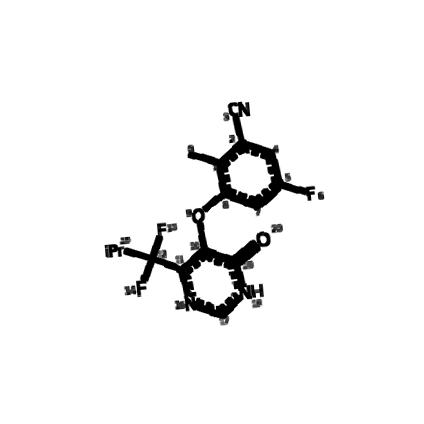 Cc1c(C#N)cc(F)cc1Oc1c(C(F)(F)C(C)C)nc[nH]c1=O